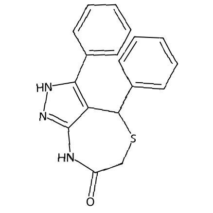 O=C1CSC(c2ccccc2)c2c(n[nH]c2-c2ccccc2)N1